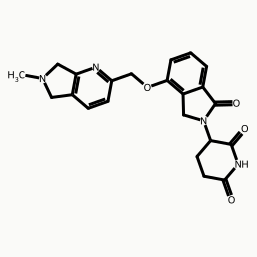 CN1Cc2ccc(COc3cccc4c3CN(C3CCC(=O)NC3=O)C4=O)nc2C1